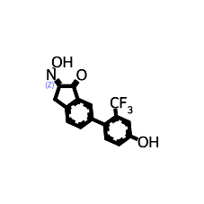 O=C1/C(=N\O)Cc2ccc(-c3ccc(O)cc3C(F)(F)F)cc21